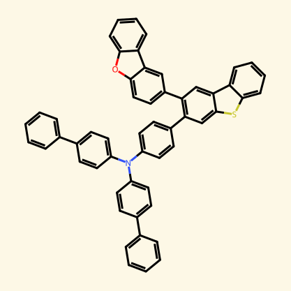 c1ccc(-c2ccc(N(c3ccc(-c4ccccc4)cc3)c3ccc(-c4cc5sc6ccccc6c5cc4-c4ccc5oc6ccccc6c5c4)cc3)cc2)cc1